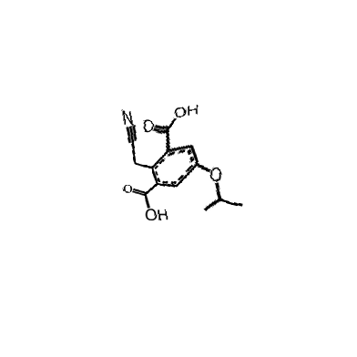 CC(C)Oc1cc(C(=O)O)c(CC#N)c(C(=O)O)c1